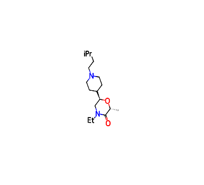 CCN1C[C@@H](C2CCN(CCC(C)C)CC2)O[C@H](C)C1=O